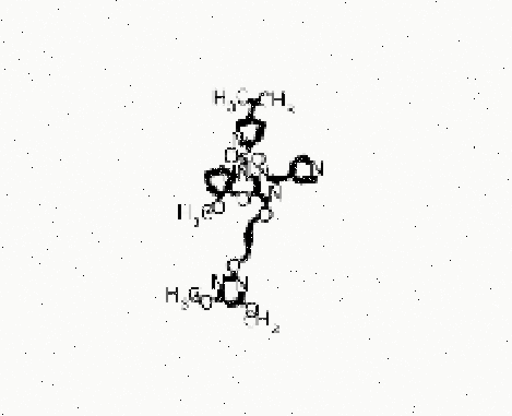 COc1cc(OC)nc(OCC#CCOc2nc(-c3ccncc3)nc(NS(=O)(=O)c3ccc(C(C)C)cn3)c2Oc2ccccc2OC)n1